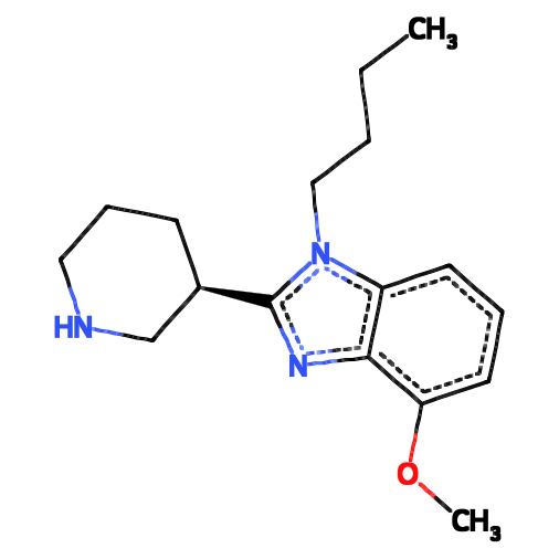 CCCCn1c([C@@H]2CCCNC2)nc2c(OC)cccc21